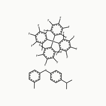 Cc1cccc([I+]c2ccc(C(C)C)cc2)c1.Fc1c(F)c(F)c([B-](c2c(F)c(F)c(F)c(F)c2F)(c2c(F)c(F)c(F)c(F)c2F)c2c(F)c(F)c(F)c(F)c2F)c(F)c1F